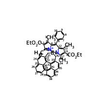 CCOC(=O)C1=C(C)C2=C(c3ccccc3)c3c(C)c(C(=O)OCC)c(C)n3[B-]3(Cc4ccc5ccccc5c4-c4c(ccc5ccccc45)C3)[N+]2=C1C